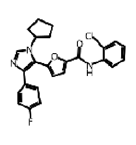 O=C(Nc1ccccc1Cl)c1ccc(-c2c(-c3ccc(F)cc3)ncn2C2CCCC2)o1